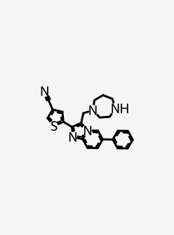 N#Cc1csc(-c2nc3ccc(-c4ccccc4)cn3c2CN2CCCNCC2)c1